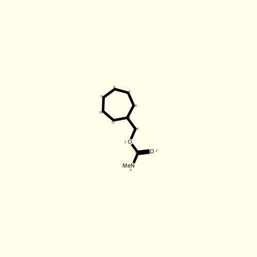 CNC(=O)OCC1CCCCCC1